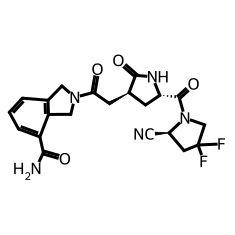 N#C[C@@H]1CC(F)(F)CN1C(=O)[C@@H]1C[C@@H](CC(=O)N2Cc3cccc(C(N)=O)c3C2)C(=O)N1